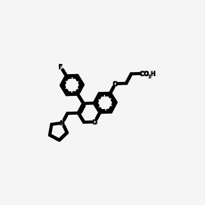 O=C(O)CCOc1ccc2c(c1)C(c1ccc(F)cc1)=C(CN1CCCC1)CO2